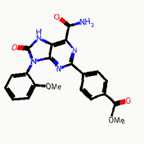 COC(=O)c1ccc(-c2nc(C(N)=O)c3[nH]c(=O)n(-c4ccccc4OC)c3n2)cc1